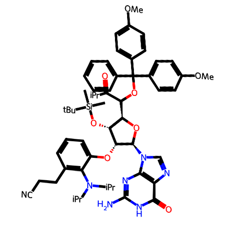 COc1ccc(C(OC(C(=O)C(C)C)[C@H]2O[C@@H](n3cnc4c(=O)[nH]c(N)nc43)[C@H](Oc3cccc(CCC#N)c3N(C(C)C)C(C)C)[C@@H]2O[Si](C)(C)C(C)(C)C)(c2ccccc2)c2ccc(OC)cc2)cc1